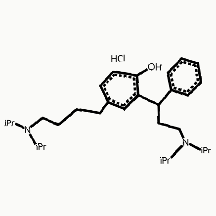 CC(C)N(CCCCc1ccc(O)c(C(CCN(C(C)C)C(C)C)c2ccccc2)c1)C(C)C.Cl